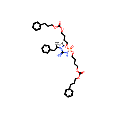 CN(C(=N)NP(=O)(OCCCCOC(=O)OCCCc1ccccc1)OCCCCOC(=O)OCCCc1ccccc1)C(Cc1ccccc1)C(=O)O